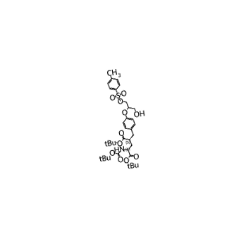 Cc1ccc(S(=O)(=O)OCC(CO)Oc2ccc(C[C@@H](C[C@H](NC(=O)OC(C)(C)C)C(=O)OC(C)(C)C)C(=O)OC(C)(C)C)cc2)cc1